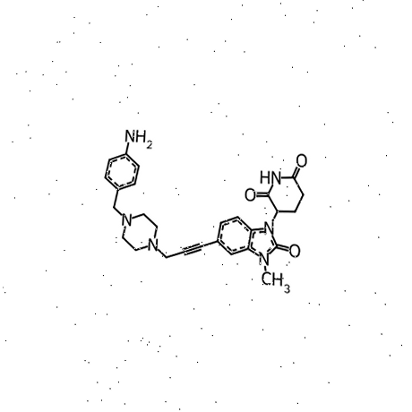 Cn1c(=O)n(C2CCC(=O)NC2=O)c2ccc(C#CCN3CCN(Cc4ccc(N)cc4)CC3)cc21